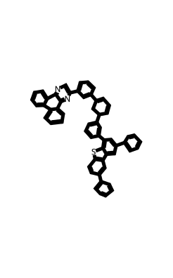 C1=CC(c2cccc(-c3cc(-c4ccccc4)cc4c3sc3ccc(-c5ccccc5)cc34)c2)CC(c2cccc(-c3cnc4c5ccccc5c5ccccc5c4n3)c2)=C1